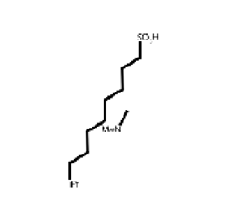 CC(C)CCCCCCCCS(=O)(=O)O.CNC